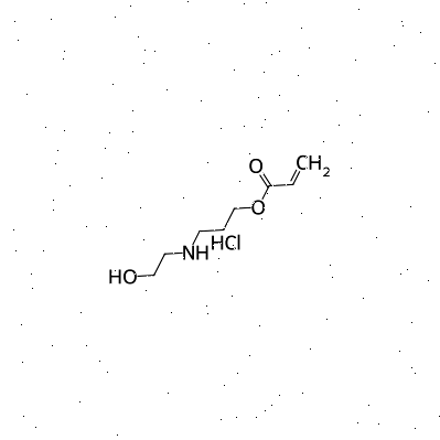 C=CC(=O)OCCCNCCO.Cl